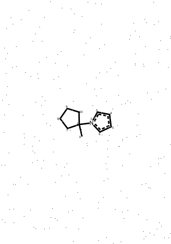 CC1(n2cccc2)CCCC1